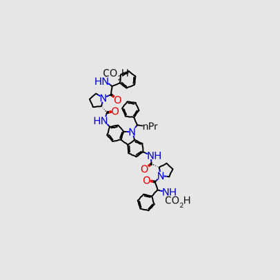 CCCC(c1ccccc1)n1c2cc(NC(=O)[C@@H]3CCCN3C(=O)C(NC(=O)O)c3ccccc3)ccc2c2ccc(NC(=O)[C@@H]3CCCN3C(=O)C(NC(=O)O)c3ccccc3)cc21